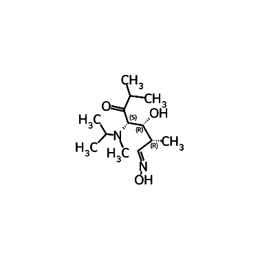 CC(C)C(=O)[C@H]([C@H](O)[C@H](C)C=NO)N(C)C(C)C